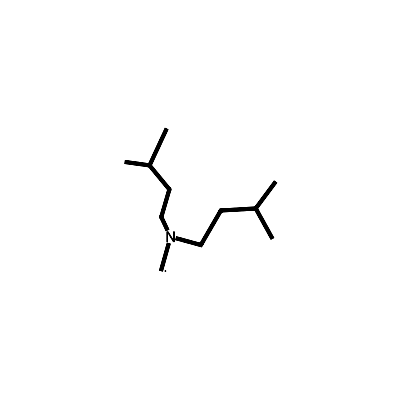 [CH2]N(CCC(C)C)CCC(C)C